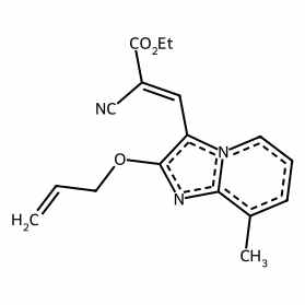 C=CCOc1nc2c(C)cccn2c1/C=C(\C#N)C(=O)OCC